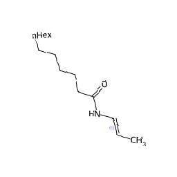 C/C=C/NC(=O)CCCCCCCCCCC